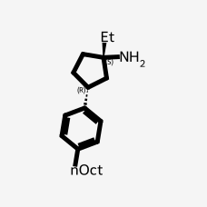 CCCCCCCCc1ccc([C@@H]2CC[C@@](N)(CC)C2)cc1